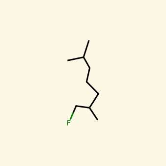 CC(C)CCCC(C)CF